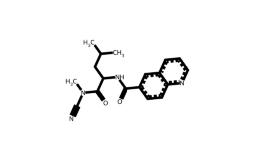 CC(C)CC(NC(=O)c1ccc2ncccc2c1)C(=O)N(C)C#N